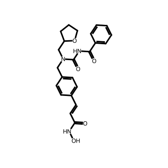 O=C(C=Cc1ccc(CN(CC2CCCO2)C(=O)NC(=O)c2ccccc2)cc1)NO